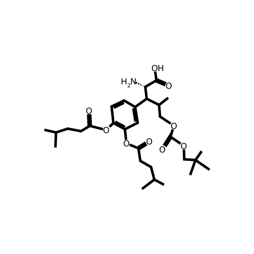 CC(C)CCC(=O)Oc1ccc(C(C(C)COC(=O)OCC(C)(C)C)[C@H](N)C(=O)O)cc1OC(=O)CCC(C)C